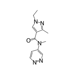 CCn1cc(C(=O)N(C)c2ccnnc2)c(C)n1